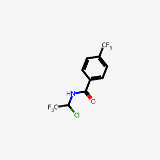 O=C(NC(Cl)C(F)(F)F)c1ccc(C(F)(F)F)cc1